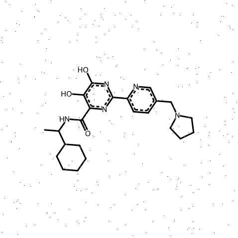 CC(NC(=O)c1nc(-c2ccc(CN3CCCC3)cn2)nc(O)c1O)C1CCCCC1